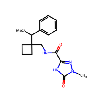 COC(c1ccccc1)C1(CNC(=O)c2nn(C)c(=O)[nH]2)CCC1